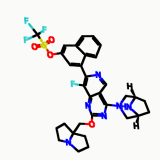 O=S(=O)(Oc1cc(-c2ncc3c(N4C[C@H]5CC[C@@H](C4)N5)nc(OCC45CCCN4CCC5)nc3c2F)c2ccccc2c1)C(F)(F)F